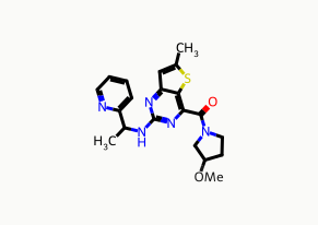 COC1CCN(C(=O)c2nc(NC(C)c3ccccn3)nc3cc(C)sc23)C1